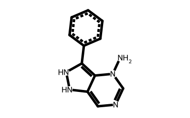 NN1C=NC=C2NNC(c3ccccc3)=C21